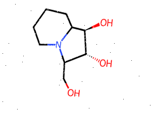 OCC1[C@@H](O)[C@H](O)C2CCCCN12